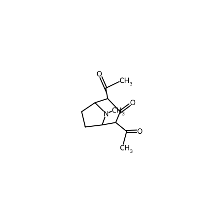 CC(=O)C1C(=O)C(C(C)=O)C2CCC1N2C